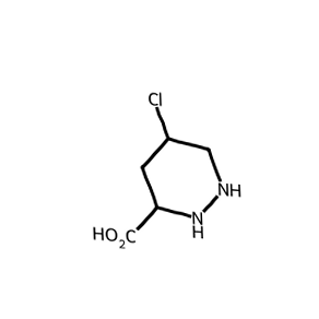 O=C(O)C1CC(Cl)CNN1